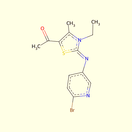 CCn1c(C)c(C(C)=O)s/c1=N\c1ccc(Br)nc1